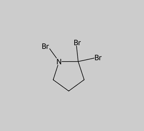 BrN1CCCC1(Br)Br